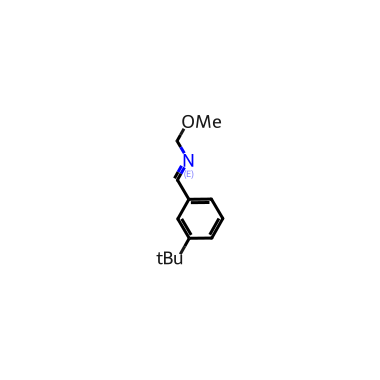 COC/N=C/c1cccc(C(C)(C)C)c1